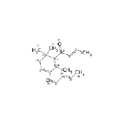 C/C=C/C(=O)C1=C(C)C=CCC1(C)C.C/C=C/C=O